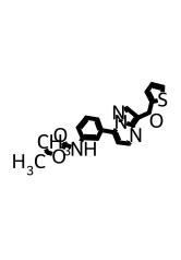 CC(C)OC(=O)Nc1cccc(-c2ccnc3c(C(=O)c4cccs4)cnn23)c1